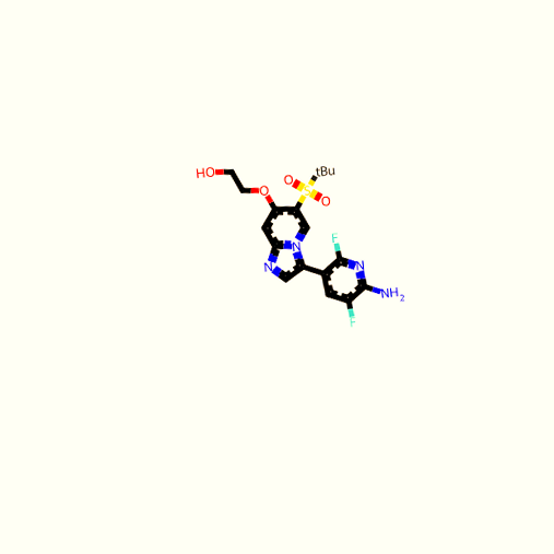 CC(C)(C)S(=O)(=O)c1cn2c(-c3cc(F)c(N)nc3F)cnc2cc1OCCO